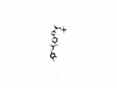 O=C(COc1ccc(Cl)c(F)c1)N[C@H]1CC[C@H](c2nnc([C@@H]3C[C@H]3COC(F)(F)F)o2)OC1